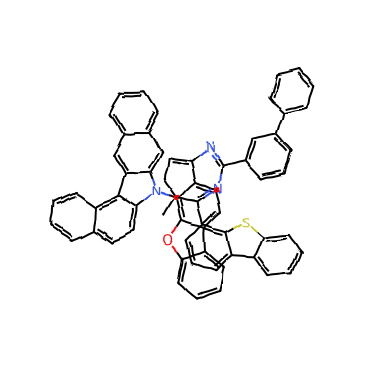 CC1C/C=C(c2ccc3c(oc4ccccc43)c2-n2c3cc4ccccc4cc3c3c4ccccc4ccc32)/N=C(c2cccc(-c3ccccc3)c2)\N=C/1c1cccc2c1sc1ccccc12